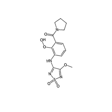 COC1=NS(=O)(=O)N=C1Nc1cccc(C(=O)N2CCCC2)c1OO